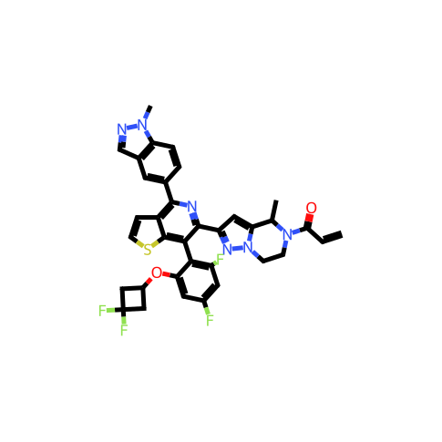 C=CC(=O)N1CCn2nc(-c3nc(-c4ccc5c(cnn5C)c4)c4ccsc4c3-c3c(F)cc(F)cc3OC3CC(F)(F)C3)cc2C1C